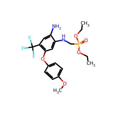 CCOP(=O)(CNc1cc(Oc2ccc(OC)cc2)c(C(F)(F)F)cc1N)OCC